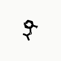 CC(C)Oc1cnccc1F